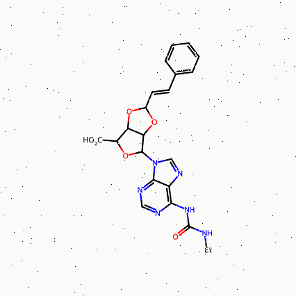 CCNC(=O)Nc1ncnc2c1ncn2C1OC(C(=O)O)C2OC(C=Cc3ccccc3)OC21